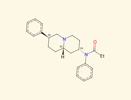 CCC(=O)N(c1ccccc1)[C@H]1CCN2C[C@H](c3ccccc3)CC[C@H]2C1